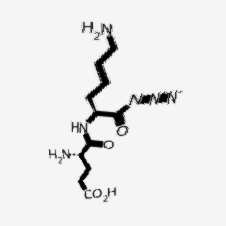 [N-]=[N+]=NC(=O)[C@H](CCCCN)NC(=O)[C@@H](N)CCC(=O)O